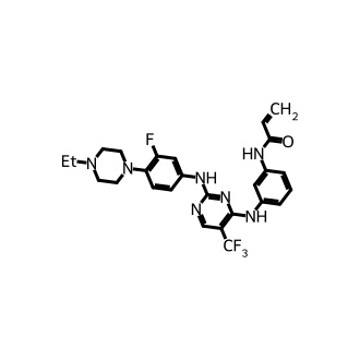 C=CC(=O)Nc1cccc(Nc2nc(Nc3ccc(N4CCN(CC)CC4)c(F)c3)ncc2C(F)(F)F)c1